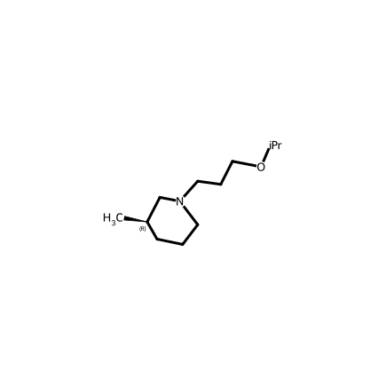 CC(C)OCCCN1CCC[C@@H](C)C1